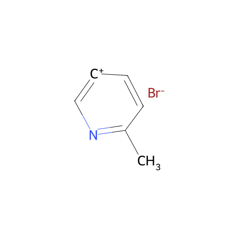 CC1=NC=[C+]C=C1.[Br-]